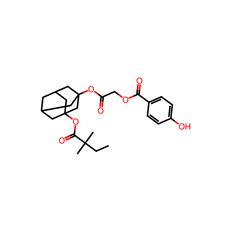 CCC(C)(C)C(=O)OC12CC3CC(CC(OC(=O)COC(=O)c4ccc(O)cc4)(C3)C1)C2